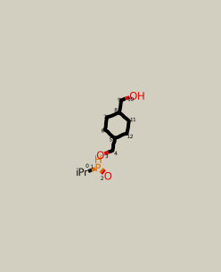 CC(C)[PH](=O)OCC1CCC(CO)CC1